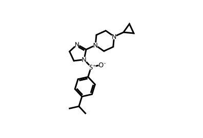 CC(C)c1ccc([S+]([O-])N2CCN=C2N2CCN(C3CC3)CC2)cc1